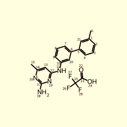 Cc1cccc(-c2cccc(Nc3cc(C)nc(N)n3)c2)c1.O=C(O)C(F)(F)F